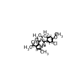 CCn1c(-c2cc(Cl)c(OC)cc2C)nn2c(C)cc(C(C)C)c2c1=O